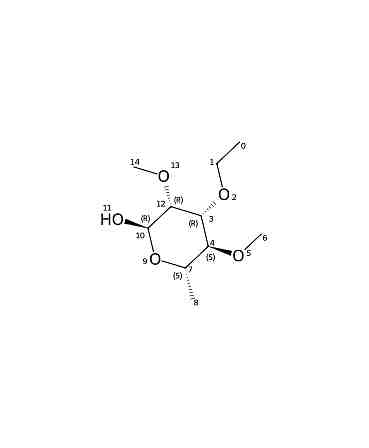 CCO[C@@H]1[C@@H](OC)[C@H](C)O[C@@H](O)[C@@H]1OC